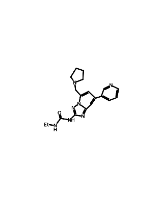 CCNC(=O)Nc1nc2cc(-c3cccnc3)cc(CN3CCCC3)n2n1